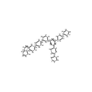 c1ccc(-c2ccc(-c3nc(-c4ccc(-c5ccccc5)cc4)nc(-c4cccc(-c5ccc(-c6ccc7c(c6)ncc6ccccc67)cc5)c4)n3)cc2)cc1